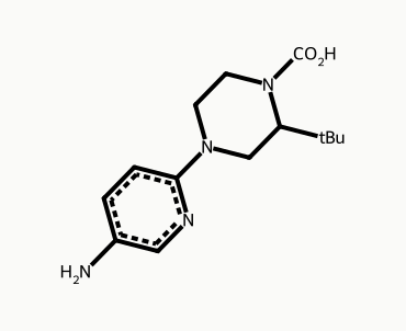 CC(C)(C)C1CN(c2ccc(N)cn2)CCN1C(=O)O